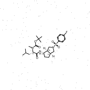 CC(C)C[C@@H](C(=O)N[C@H]1CC[C@@H]2CN(S(=O)(=O)c3ccc(F)cc3)C[C@@H]21)N(C)C(=O)OC(C)(C)C